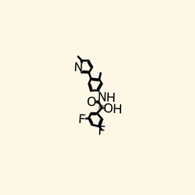 Cc1ccc(-c2ccc(NC(=O)[C@H](O)c3cc(F)cc(F)c3)cc2C)cn1